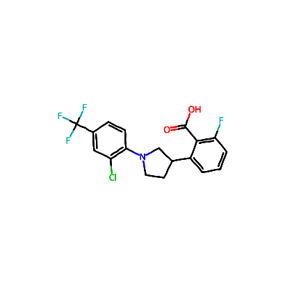 O=C(O)c1c(F)cccc1C1CCN(c2ccc(C(F)(F)F)cc2Cl)C1